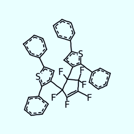 FC1=C(F)C(F)(c2cc(-c3ccccc3)sc2-c2ccccc2)C(F)(c2cc(-c3ccccc3)sc2-c2ccccc2)C1(F)F